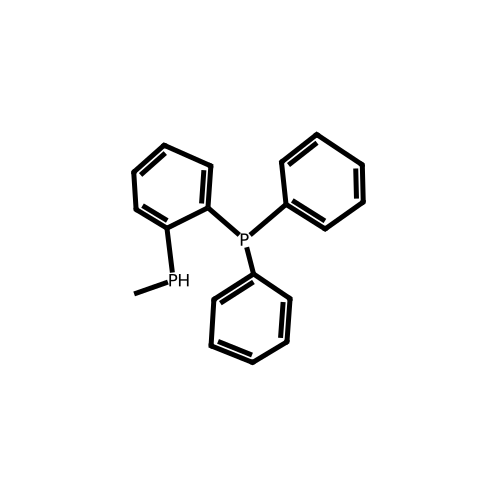 CPc1ccccc1P(c1ccccc1)c1ccccc1